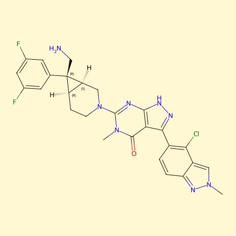 Cn1cc2c(Cl)c(-c3n[nH]c4nc(N5CC[C@@H]6[C@H](C5)[C@@]6(CN)c5cc(F)cc(F)c5)n(C)c(=O)c34)ccc2n1